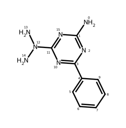 Nc1nc(-c2ccccc2)nc(N(N)N)n1